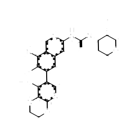 Cc1c(-c2cc3cc(NC(=O)N[C@H]4CCOC[C@H]4F)ncc3c(N)c2F)cnc2c1NCCO2